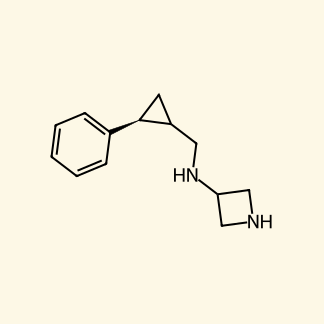 c1ccc([C@H]2CC2CNC2CNC2)cc1